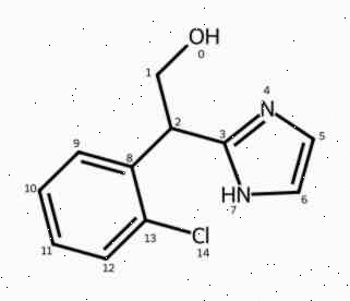 OCC(c1ncc[nH]1)c1ccccc1Cl